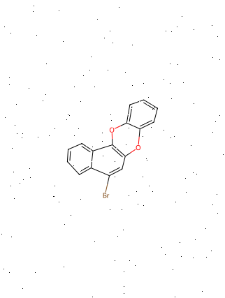 Brc1cc2c(c3ccccc13)Oc1ccccc1O2